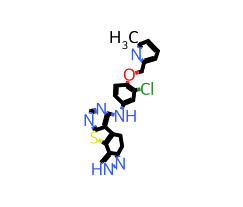 Cc1cccc(COc2ccc(Nc3ncnc4sc5c(c34)CCc3n[nH]cc3-5)cc2Cl)n1